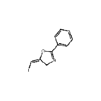 I/C=C1\CN=C(c2ccccc2)O1